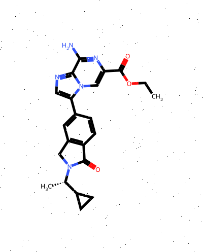 CCOC(=O)c1cn2c(-c3ccc4c(c3)CN([C@@H](C)C3CC3)C4=O)cnc2c(N)n1